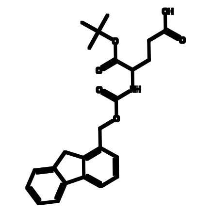 CC(C)(C)OC(=O)C(CCC(=O)O)NC(=O)OCc1cccc2c1Cc1ccccc1-2